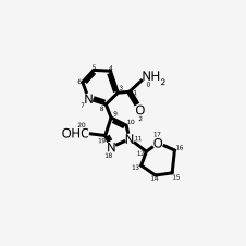 NC(=O)c1cccnc1-c1cn(C2CCCCO2)nc1C=O